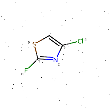 Fc1nc(Cl)cs1